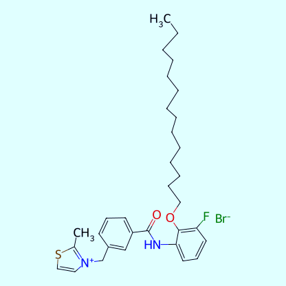 CCCCCCCCCCCCCCOc1c(F)cccc1NC(=O)c1cccc(C[n+]2ccsc2C)c1.[Br-]